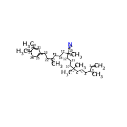 C=CC(C)CCCC(C)(C)CCCC(C)(C#N)CCCC(C)CCC1=CCC(C)C(C)=C1